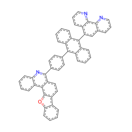 c1cnc2c(c1)cc(-c1c3ccccc3c(-c3ccc(-c4nc5ccccc5c5c4ccc4c6ccccc6oc45)cc3)c3ccccc13)c1cccnc12